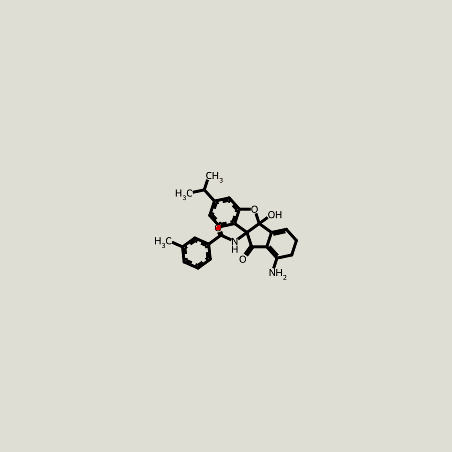 Cc1cccc(C(=O)NC23C(=O)C4=C(N)CCC=C4C2(O)Oc2cc(C(C)C)ccc23)c1